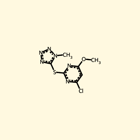 COc1cc(Cl)nc(Sc2nnnn2C)n1